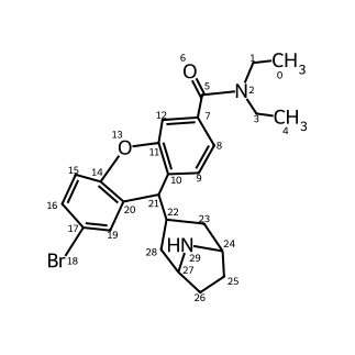 CCN(CC)C(=O)c1ccc2c(c1)Oc1ccc(Br)cc1C2C1CC2CCC(C1)N2